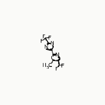 Cc1cc(-c2cnc(C(F)(F)F)nc2)ncc1C(F)F